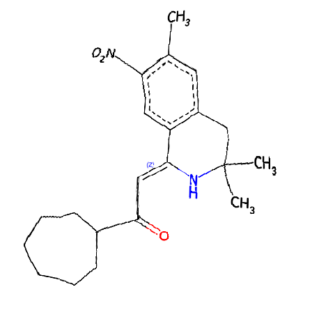 Cc1cc2c(cc1[N+](=O)[O-])/C(=C/C(=O)C1CCCCCC1)NC(C)(C)C2